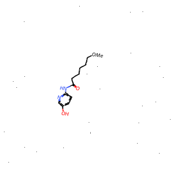 COCCCCCC(=O)Nc1ccc(O)cn1